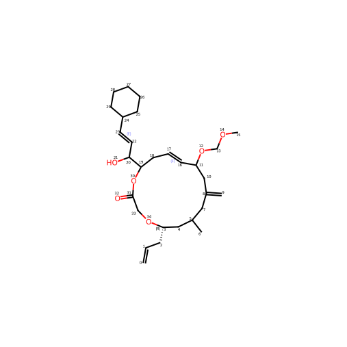 C=CC[C@H]1CC(C)CC(=C)CC(OCOC)/C=C/CC(C(O)/C=C/C2CCCCC2)OC(=O)CO1